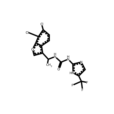 CC(NC(=O)Nc1ncc(C(F)(F)F)[nH]1)c1coc2c(Cl)c(Cl)ccc12